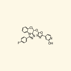 CC(Oc1nnc(-c2ccnc(O)c2)o1)c1nnc(-c2ccc(F)cc2)n1-c1ccccc1Cl